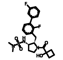 CN(C)S(=O)(=O)N[C@H]1CCN(C(=O)C2(O)CCC2)[C@H]1Cc1cccc(-c2cccc(F)c2)c1F